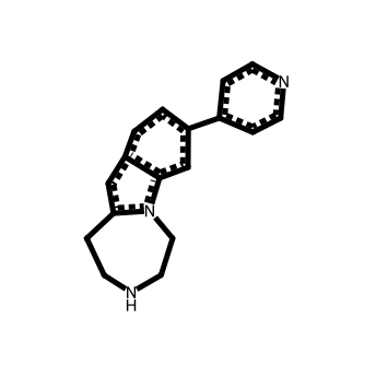 c1cc(-c2ccc3cc4n(c3c2)CCNCC4)ccn1